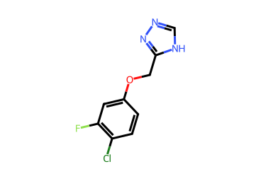 Fc1cc(OCc2nnc[nH]2)ccc1Cl